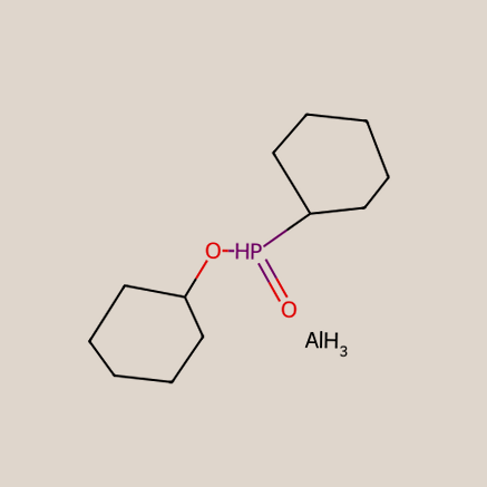 O=[PH](OC1CCCCC1)C1CCCCC1.[AlH3]